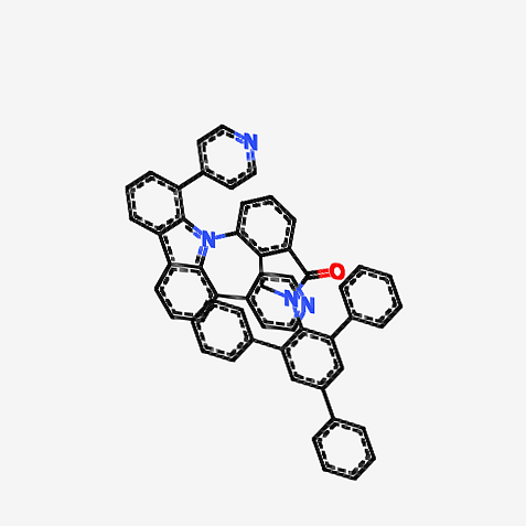 O=C1c2cccc(-n3c4c(-c5ccncc5)cccc4c4cccc(-c5ccncc5)c43)c2CN1c1c(-c2ccccc2)cc(-c2ccccc2)cc1-c1ccccc1